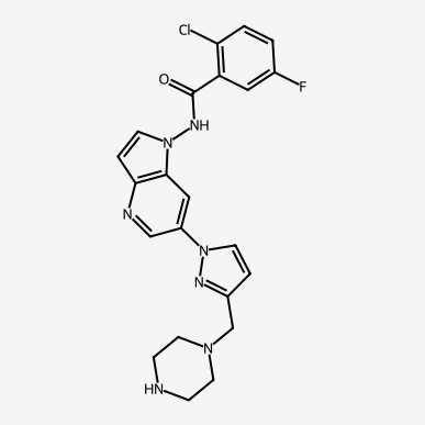 O=C(Nn1ccc2ncc(-n3ccc(CN4CCNCC4)n3)cc21)c1cc(F)ccc1Cl